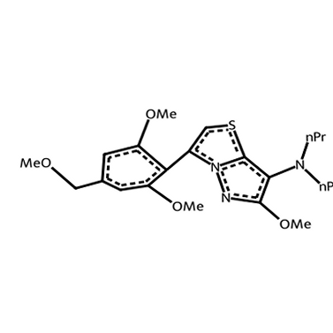 CCCN(CCC)c1c(OC)nn2c(-c3c(OC)cc(COC)cc3OC)csc12